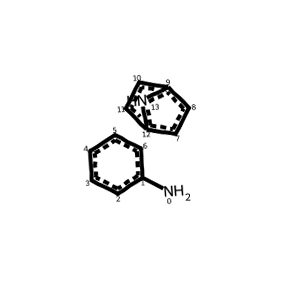 Nc1ccccc1.c1cc2ccc1[nH]2